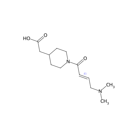 CN(C)C/C=C/C(=O)N1CCC(CC(=O)O)CC1